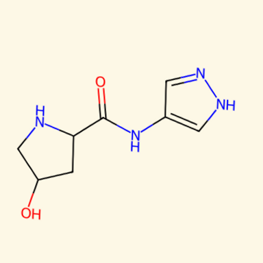 O=C(Nc1cn[nH]c1)C1CC(O)CN1